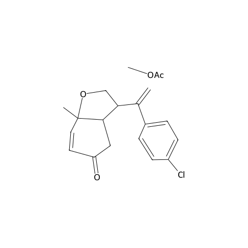 C=C(c1ccc(Cl)cc1)C1COC2(C)C=CC(=O)CC12.COC(C)=O